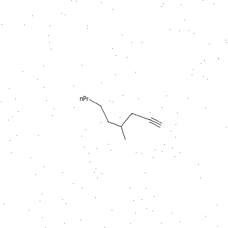 C#CCC(C)CCCC[CH2]